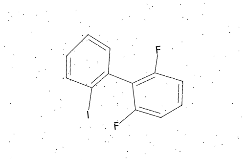 Fc1cccc(F)c1-c1ccc[c]c1I